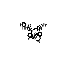 CCCn1cc(COC(c2ccc(C)c(CN3C[C@@H](C)Cc4ccccc4S3(=O)=O)c2)C(C)(C)C(=O)Nc2cccnc2)nn1